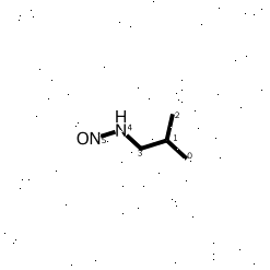 CC(C)CNN=O